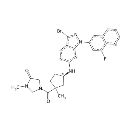 CN1CN(C(=O)C2(C)CC[C@@H](Nc3ncc4c(Br)nn(-c5cc(F)c6ncccc6c5)c4n3)C2)CC1=O